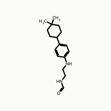 CC1(C)CCC(c2ccc(NCCNC=O)cc2)CC1